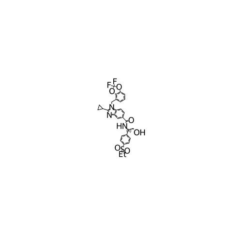 CCS(=O)(=O)c1ccc([C@H](CO)NC(=O)c2ccc3c(c2)nc(C2CC2)n3Cc2cccc3c2OC(F)(F)O3)cc1